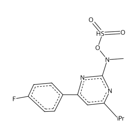 CC(C)c1cc(-c2ccc(F)cc2)nc(N(C)O[SH](=O)=O)n1